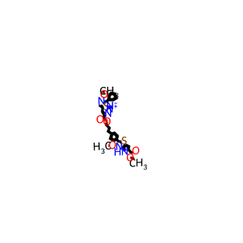 CCOC(=O)c1cc2sc(-c3ccc(CCCOC(=O)/C(=C/c4cnc(-c5ccccc5OC)s4)N=[N+]=[N-])cc3OC)nc2[nH]1